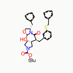 CC(C)(C)OC(=O)N1CC[C@H]([C@H](Cc2cccc(SCc3ccccc3)c2)C(=O)N2C(O)OC[C@@H]2Cc2ccccc2)C1